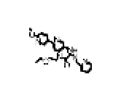 CCOCCn1c(=O)c(NCc2ccccn2)nc2cnc(-c3ccc(OC)nc3)cc21